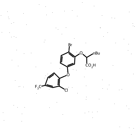 CCCCC(Oc1cc(Oc2ccc(C(F)(F)F)cc2Cl)ccc1Br)C(=O)O